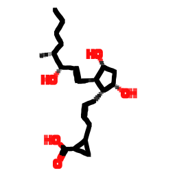 CCCC[C@@H](C)[C@@H](O)/C=C/[C@@H]1[C@@H](C/C=C\CC2CC2C(=O)O)[C@@H](O)C[C@H]1O